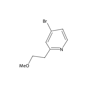 COCCc1cc(Br)ccn1